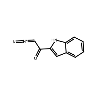 [N-]=[N+]=CC(=O)c1cc2ccccc2[nH]1